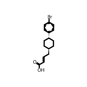 O=C(O)/C=C/C[C@H]1CC[C@H](c2ccc(Br)cc2)CC1